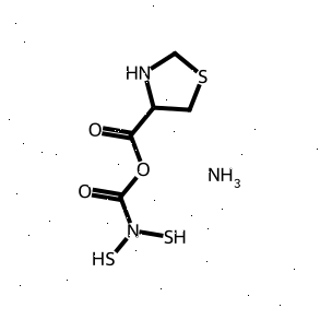 N.O=C(OC(=O)N(S)S)C1CSCN1